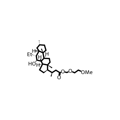 CC[C@H]1[C@@H](O)[C@@H]2[C@H](CC[C@]3(C)[C@@H]([C@H](C)CC(=O)OCOCCOC)CC[C@@H]23)[C@@]2(C)CC[C@@H](C)C[C@@H]12